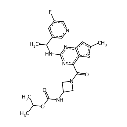 Cc1cc2nc(N[C@@H](C)c3cncc(F)c3)nc(C(=O)N3CC(NC(=O)OC(C)C)C3)c2s1